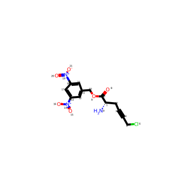 N[C@@H](CC#CCCl)C(=O)OCc1cc([N+](=O)[O-])cc([N+](=O)[O-])c1